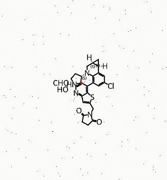 O=C1CCC(=O)N1Cc1cc2nccc(-c3cc(Cl)cc4c3N([C@H]3CCNC3)C[C@H]3C[C@@H]43)c2s1.O=CO